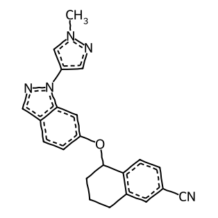 Cn1cc(-n2ncc3ccc(OC4CCCc5cc(C#N)ccc54)cc32)cn1